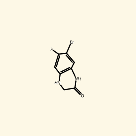 O=C1CNc2cc(F)c(Br)cc2N1